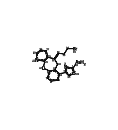 [AsH2]c1nc(-c2cccc3c2CC(=CCCBr)c2cccnc2O3)cs1